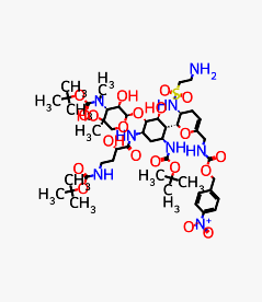 CN(C(=O)OC(C)(C)C)[C@@H]1[C@@H](O)[C@@H](O[C@H]2[C@H](NC(=O)[C@@H](O)CCNC(=O)OC(C)(C)C)C[C@H](NC(=O)OC(C)(C)C)C([C@H]3OC(CNC(=O)OCc4ccc([N+](=O)[O-])cc4)=CC[C@H]3NS(=O)(=O)CCN)[C@@H]2O)OC[C@]1(C)O